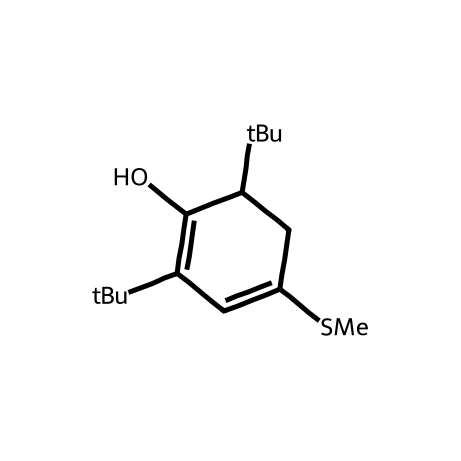 CSC1=CC(C(C)(C)C)=C(O)C(C(C)(C)C)C1